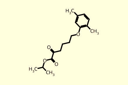 Cc1ccc(C)c(OCCCCC(=O)C(=O)OC(C)C)c1